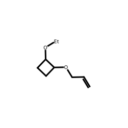 C=CCOC1CCC1OCC